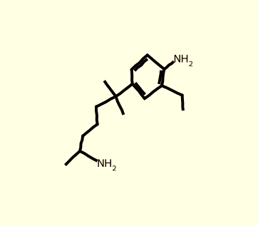 CCc1cc(C(C)(C)CCCC(C)N)ccc1N